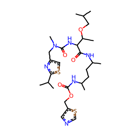 CC(C)COC(C)C(NC(=O)N(C)Cc1csc(C(C)C)n1)C(=O)NC(C)CCC(C)NC(=O)OCc1cncs1